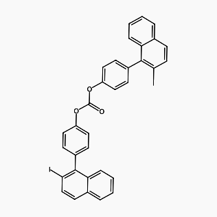 O=C(Oc1ccc(-c2c(I)ccc3ccccc23)cc1)Oc1ccc(-c2c(I)ccc3ccccc23)cc1